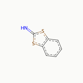 N=c1sc2ccccc2s1